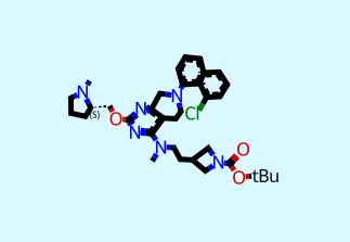 CN(CCC1CN(C(=O)OC(C)(C)C)C1)c1nc(OC[C@@H]2CCCN2C)nc2c1CCN(c1cccc3cccc(Cl)c13)C2